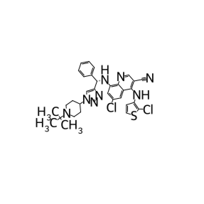 CC(C)(C)N1CCC(n2cc([C@@H](Nc3cc(Cl)cc4c(Nc5ccsc5Cl)c(C#N)cnc34)c3ccccc3)nn2)CC1